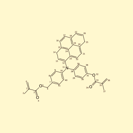 C=C(C)C(=O)OCc1ccc(N(C2=CCc3ccc4c5c(ccc2c35)CC=C4)c2ccc(OC(=O)C(=C)C)cc2)cc1